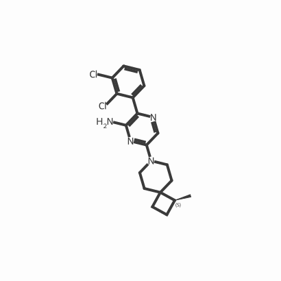 C[C@H]1CCC12CCN(c1cnc(-c3cccc(Cl)c3Cl)c(N)n1)CC2